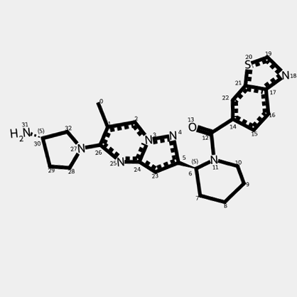 Cc1cn2nc([C@@H]3CCCCN3C(=O)c3ccc4ncsc4c3)cc2nc1N1CC[C@H](N)C1